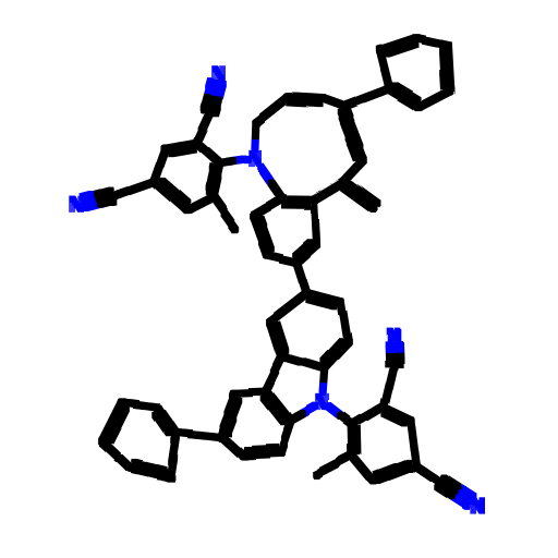 C=C1/C=C(c2ccccc2)\C=C/CN(c2c(C)cc(C#N)cc2C#N)c2ccc(-c3ccc4c(c3)c3cc(-c5ccccc5)ccc3n4-c3c(C)cc(C#N)cc3C#N)cc21